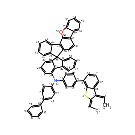 C/C=c1\c(=C/CC)sc2c(-c3ccc(N(c4ccc(-c5ccccc5)cc4)c4cccc5c4-c4ccccc4C54c5ccccc5-c5c4ccc4c5oc5ccccc54)cc3)cccc12